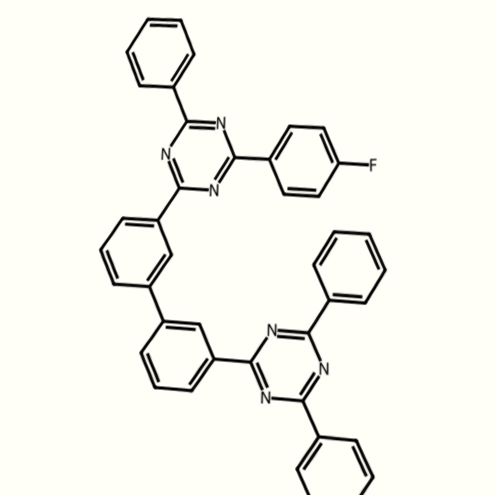 Fc1ccc(-c2nc(-c3ccccc3)nc(-c3cccc(-c4cccc(-c5nc(-c6ccccc6)nc(-c6ccccc6)n5)c4)c3)n2)cc1